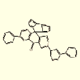 O=C1c2cc(-c3ccccc3)ccc2C2(c3ccc(-c4cccc(-c5ccccc5)c4)cc31)c1ccccc1-c1ccccc12